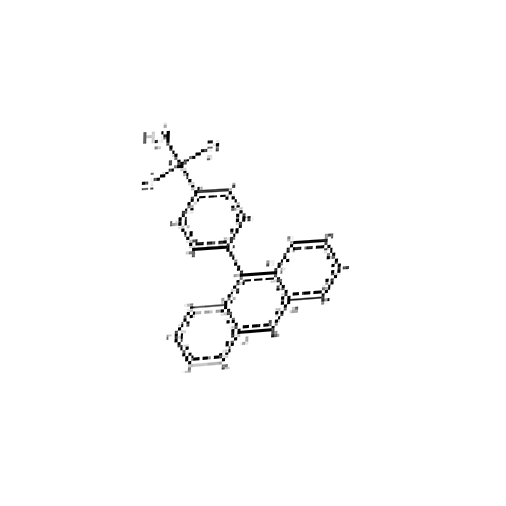 CCC(N)(CC)c1ccc(-c2c3ccccc3cc3ccccc23)cc1